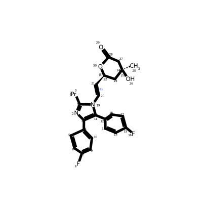 CC(C)c1nc(-c2ccc(F)cc2)c(-c2ccc(F)cc2)n1/C=C/[C@@H]1C[C@](C)(O)CC(=O)O1